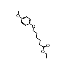 CCOC(=O)CCCCCOc1ccc(OC)cc1